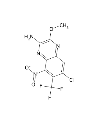 COc1nc2cc(Cl)c(C(F)(F)F)c([N+](=O)[O-])c2nc1N